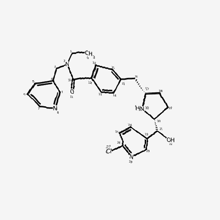 CCN(Cc1cccnc1)C(=O)c1ccc(C[C@@H]2CC[C@H](C(O)c3ccc(Cl)nc3)N2)cc1